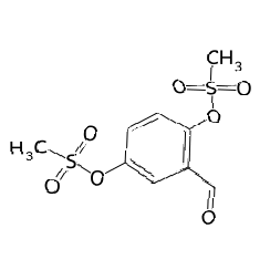 CS(=O)(=O)Oc1ccc(OS(C)(=O)=O)c(C=O)c1